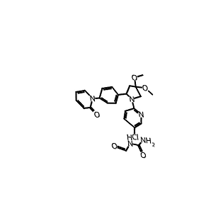 COC1(OC)CC(c2ccc(-n3ccccc3=O)cc2)N(c2ccc(Cl)cn2)C1.NC(=O)NC=O